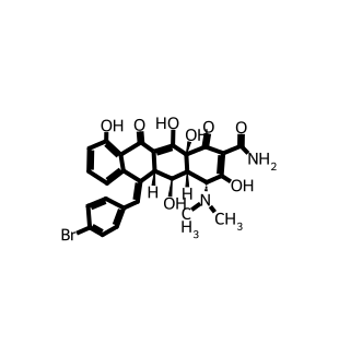 CN(C)[C@H]1C(O)=C(C(N)=O)C(=O)[C@@]2(O)C(O)=C3C(=O)c4c(O)cccc4/C(=C\c4ccc(Br)cc4)[C@H]3[C@H](O)[C@@H]12